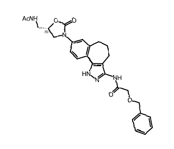 CC(=O)NC[C@H]1CN(c2ccc3c(c2)CCCc2c(NC(=O)COCc4ccccc4)n[nH]c2-3)C(=O)O1